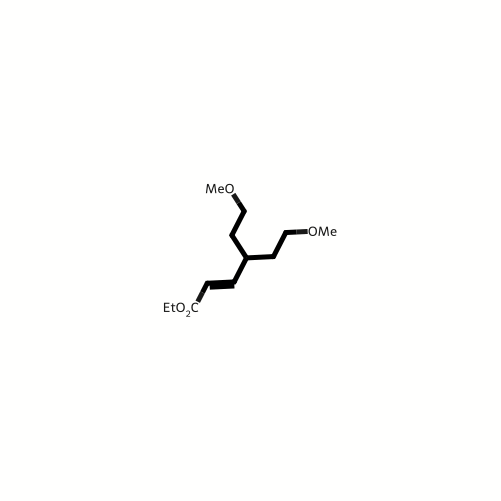 CCOC(=O)C=CC(CCOC)CCOC